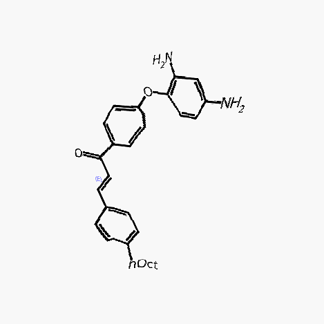 CCCCCCCCc1ccc(/C=C/C(=O)c2ccc(Oc3ccc(N)cc3N)cc2)cc1